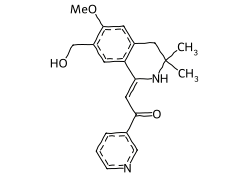 COc1cc2c(cc1CO)C(=CC(=O)c1cccnc1)NC(C)(C)C2